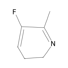 CC1=NCCC=C1F